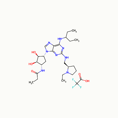 CCC(=O)N[C@H]1C[C@@H](n2cnc3c(NC(CC)CC)nc(NC[C@H]4CCCN4CC)nc32)[C@H](O)[C@@H]1O.O=C(O)C(F)(F)F